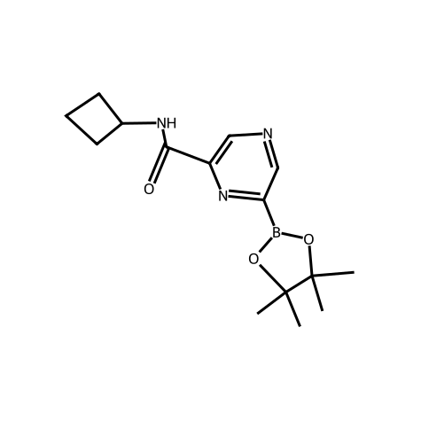 CC1(C)OB(c2cncc(C(=O)NC3CCC3)n2)OC1(C)C